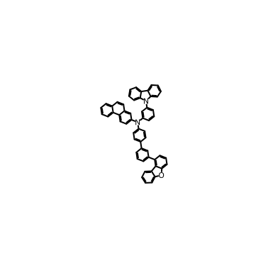 c1cc(-c2ccc(N(c3cccc(-n4c5ccccc5c5ccccc54)c3)c3ccc4c(ccc5ccccc54)c3)cc2)cc(-c2cccc3oc4ccccc4c23)c1